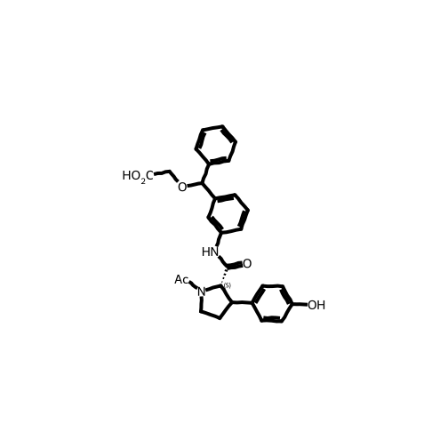 CC(=O)N1CCC(c2ccc(O)cc2)[C@H]1C(=O)Nc1cccc(C(OCC(=O)O)c2ccccc2)c1